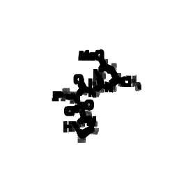 COc1cc(C)nc(NC(=O)N(C(C)C)S(=O)(=O)c2ncc[nH]2)n1